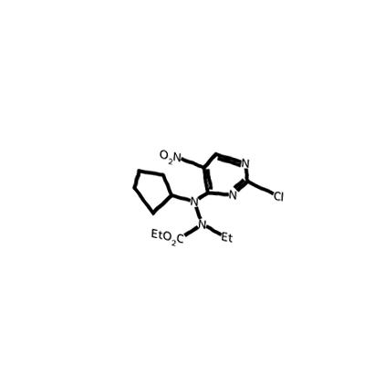 CCOC(=O)N(CC)N(c1nc(Cl)ncc1[N+](=O)[O-])C1CCCC1